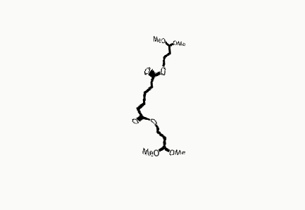 COC(CCOC(=O)CCCCC(=O)OCCC(OC)OC)OC